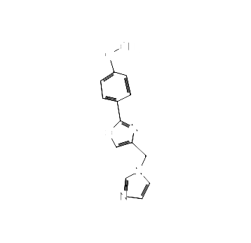 COc1ccc(-c2nc(Cn3ccnc3)co2)cc1